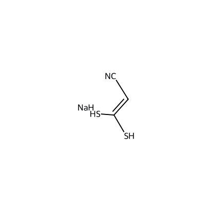 N#CC=C(S)S.[NaH]